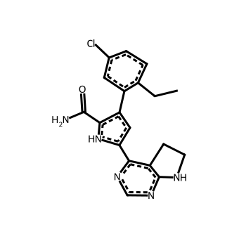 CCc1ccc(Cl)cc1-c1cc(-c2ncnc3c2CCN3)[nH]c1C(N)=O